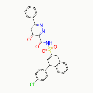 O=C1CC(c2ccccc2)=NN=C1C(=O)NS(=O)(=O)C1=CC(c2ccc(Cl)cc2)c2ccccc2C1